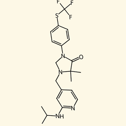 CC(C)Nc1cc(CN2CN(c3ccc(SC(F)(F)F)cc3)C(=O)C2(C)C)ccn1